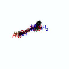 NS(=O)(=O)c1c(F)c(F)c(S(=O)(=O)CCC(=O)NCCOCCOCCC(=O)N[C@@H](CS)C(=O)O)c(NC2CCCCCCC2)c1F